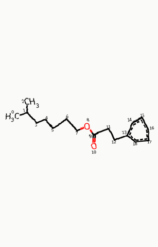 CC(C)CCCCCOC(=O)CCc1ccccc1